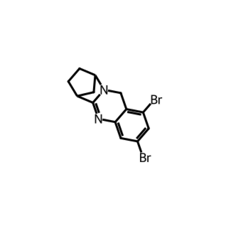 Brc1cc(Br)c2c(c1)N=C1C3CCC(C3)N1C2